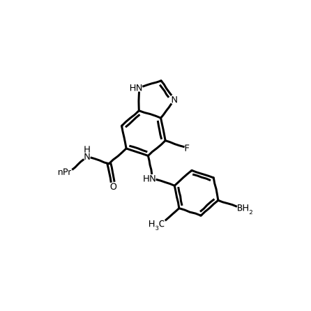 Bc1ccc(Nc2c(C(=O)NCCC)cc3[nH]cnc3c2F)c(C)c1